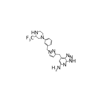 Nc1cc(Cc2ccn(Cc3cccc(N4CCNC(C(F)(F)F)C4)c3)n2)c2nn[nH]c2n1